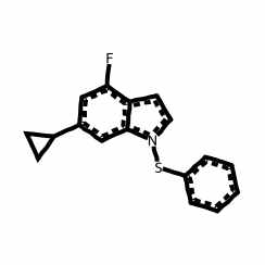 Fc1cc(C2CC2)cc2c1ccn2Sc1ccccc1